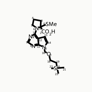 CSC1(C(=O)O)CCCN1c1ncnc2c1ccn2COCC[Si](C)(C)C